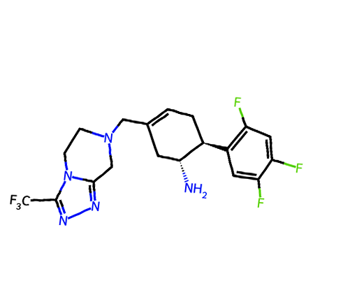 N[C@@H]1CC(CN2CCn3c(nnc3C(F)(F)F)C2)=CC[C@H]1c1cc(F)c(F)cc1F